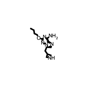 CCCCOc1nc(N)c2ncc(CC3CNC3)n2n1